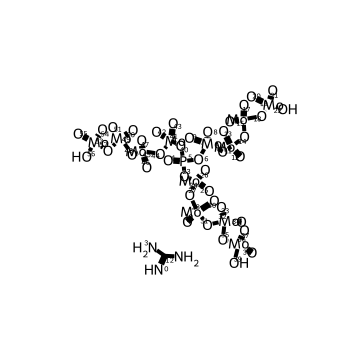 N=C(N)N.O=P([O][Mo](=[O])(=[O])[O][Mo](=[O])(=[O])[O][Mo](=[O])(=[O])[O][Mo](=[O])(=[O])[OH])([O][Mo](=[O])(=[O])[O][Mo](=[O])(=[O])[O][Mo](=[O])(=[O])[O][Mo](=[O])(=[O])[OH])[O][Mo](=[O])(=[O])[O][Mo](=[O])(=[O])[O][Mo](=[O])(=[O])[O][Mo](=[O])(=[O])[OH]